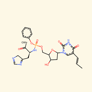 C/C=C/c1cn(C2CC(O)C(COP(=O)(N[C@@H](CC3=NC=NC3)C(=O)OC)Oc3ccccc3)O2)c(=O)[nH]c1=O